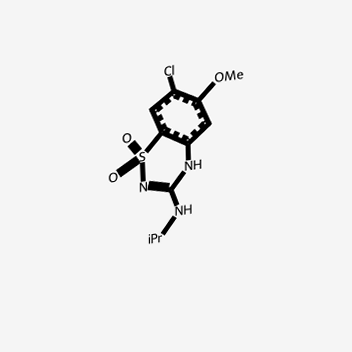 COc1cc2c(cc1Cl)S(=O)(=O)N=C(NC(C)C)N2